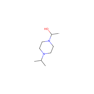 [CH2]C(O)N1CCN(C(C)C)CC1